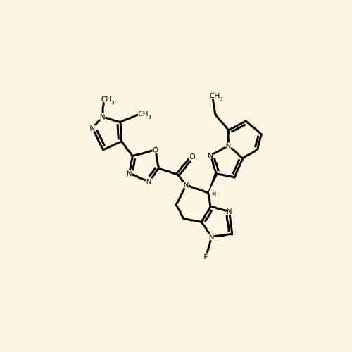 CCc1cccc2cc([C@H]3c4ncn(F)c4CCN3C(=O)c3nnc(-c4cnn(C)c4C)o3)nn12